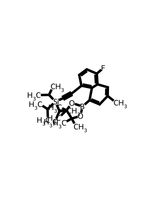 Cc1cc(B2OC(C)(C)C(C)(C)O2)c2c(C#C[Si](C(C)C)(C(C)C)C(C)C)ccc(F)c2c1